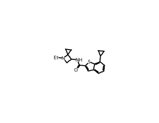 CCN1CC(NC(=O)c2cc3cccc(C4CC4)c3s2)C12CC2